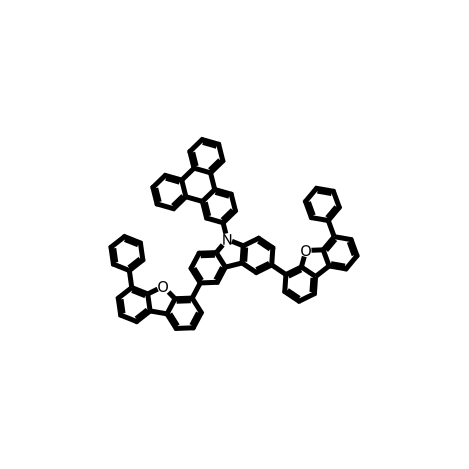 c1ccc(-c2cccc3c2oc2c(-c4ccc5c(c4)c4cc(-c6cccc7c6oc6c(-c8ccccc8)cccc67)ccc4n5-c4ccc5c6ccccc6c6ccccc6c5c4)cccc23)cc1